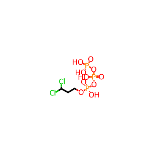 O=P(O)(O)OP(=O)(O)OP(=O)(O)OCCC(Cl)Cl